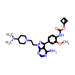 COc1cc(-c2nn(CCN3CCC(N(C)C)CC3)c3ncnc(N)c23)ccc1NC(=O)OC12CC(C1)C2